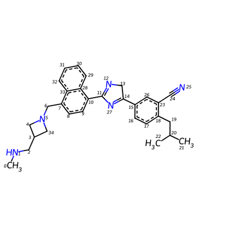 CNCC1CN(Cc2ccc(C3=NCC(c4ccc(CC(C)C)c(C#N)c4)=N3)c3ccccc23)C1